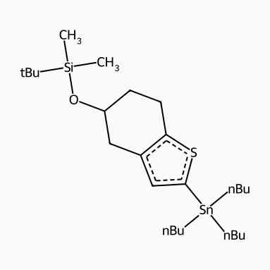 CCC[CH2][Sn]([CH2]CCC)([CH2]CCC)[c]1cc2c(s1)CCC(O[Si](C)(C)C(C)(C)C)C2